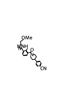 COCCc1nnc(-c2cccc(C(=O)N3CCC(c4ccc(C#N)cc4)CC3)c2C)[nH]1